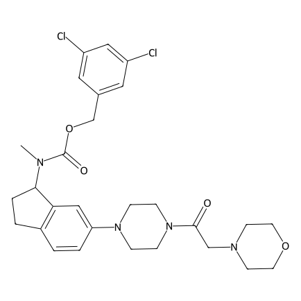 CN(C(=O)OCc1cc(Cl)cc(Cl)c1)C1CCc2ccc(N3CCN(C(=O)CN4CCOCC4)CC3)cc21